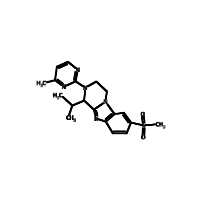 Cc1ccnc(N2CCn3c(nc4ccc(S(C)(=O)=O)cc43)C2C(C)C)n1